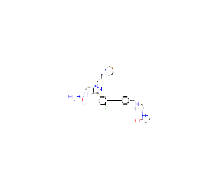 NC(=O)N1CCc2c(c(-c3ccc(Cl)c(C#Cc4ccc(CN5CCC(N6CCCC6=O)CC5)cc4)c3)nn2CCCN2CCSCC2)C1